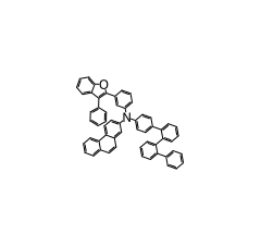 c1ccc(-c2ccccc2-c2ccccc2-c2ccc(N(c3cccc(-c4oc5ccccc5c4-c4ccccc4)c3)c3ccc4c(ccc5ccccc54)c3)cc2)cc1